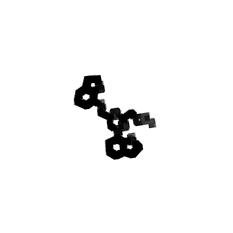 C=CC(=O)OC(CSc1cccc2ccsc12)CSc1cccc2ccsc12